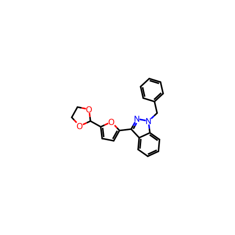 c1ccc(Cn2nc(-c3ccc(C4OCCO4)o3)c3ccccc32)cc1